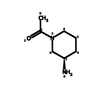 CC(=O)N1CCC[C@@H](N)C1